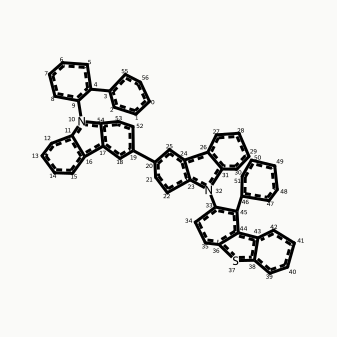 c1ccc(-c2ccccc2-n2c3ccccc3c3cc(-c4ccc5c(c4)c4ccccc4n5-c4ccc5sc6ccccc6c5c4-c4ccccc4)ccc32)cc1